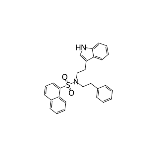 O=S(=O)(c1cccc2ccccc12)N(CCc1ccccc1)CCc1c[nH]c2ccccc12